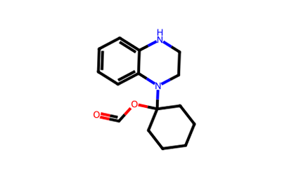 O=COC1(N2CCNc3ccccc32)CCCCC1